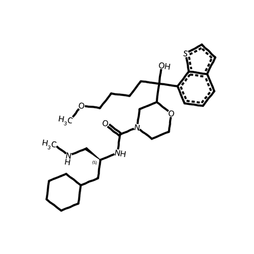 CNC[C@H](CC1CCCCC1)NC(=O)N1CCOC(C(O)(CCCCOC)c2cccc3ccsc23)C1